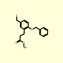 CC(C)(C)OC(=O)CCc1cc(CF)ccc1OCc1ccccc1